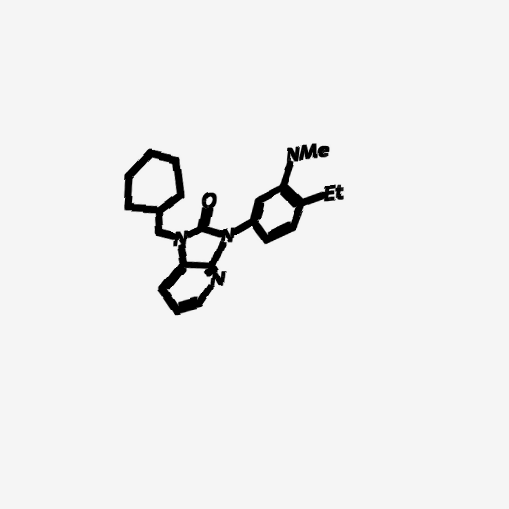 CCc1ccc(-n2c(=O)n(CC3CCCCC3)c3cccnc32)cc1NC